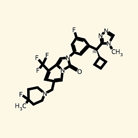 Cn1cnnc1[C@H](c1cc(F)cc(-n2cc3c(C(F)(F)F)cc(CN4CCC(C)(F)CC4)cn3c2=O)c1)C1CCC1